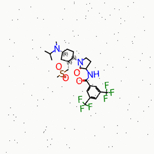 CC(C)N(C)[C@@H]1CC[C@H](N2CCC(NC(=O)c3cc(C(F)(F)F)cc(C(F)(F)F)c3)C2=O)[C@H](CS(C)(=O)=O)C1